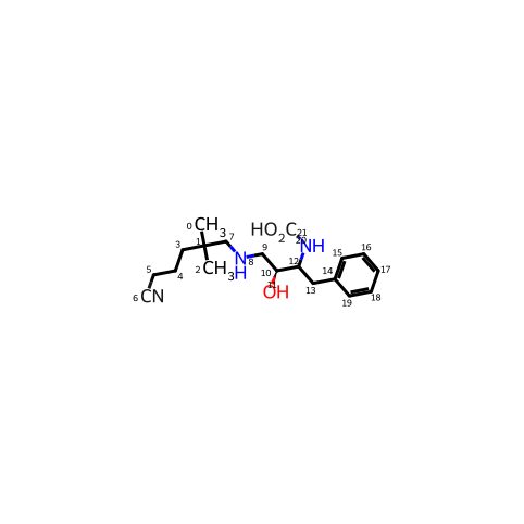 CC(C)(CCCC#N)CNC[C@H](O)C(Cc1ccccc1)NC(=O)O